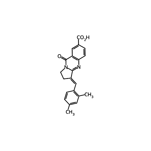 Cc1ccc(C=C2CCn3c2nc2ccc(C(=O)O)cc2c3=O)c(C)c1